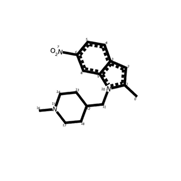 Cc1cc2ccc([N+](=O)[O-])cc2n1CC1CCN(C)CC1